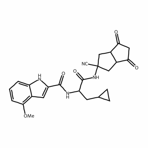 COc1cccc2[nH]c(C(=O)NC(CC3CC3)C(=O)NC3(C#N)CC4C(=O)CC(=O)C4C3)cc12